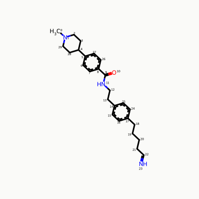 CN1CCC(c2ccc(C(=O)NCCc3ccc(CCCCC=N)cc3)cc2)CC1